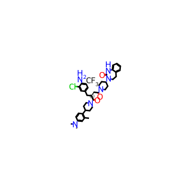 Cc1cc(N(C)C)ccc1C1CCN(C(=O)[C@H](CC(=O)N2CCC(N3CCc4ccccc4NC3=O)CC2)Cc2cc(Cl)c(N)c(C(F)(F)F)c2)CC1